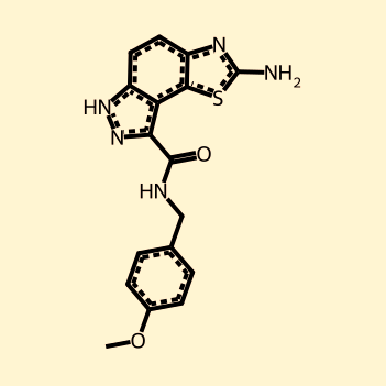 COc1ccc(CNC(=O)c2n[nH]c3ccc4nc(N)sc4c23)cc1